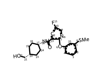 CSc1cccc(Oc2ncc(F)cc2C(=O)N[C@H]2CC[C@@H](CO)CC2)c1